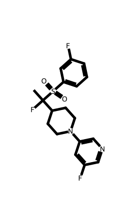 CC(F)(C1CCN(c2cncc(F)c2)CC1)S(=O)(=O)c1cccc(F)c1